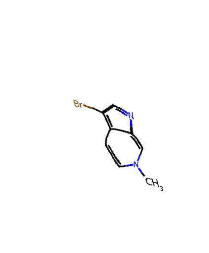 Cn1ccc2c(Br)cnc-2c1